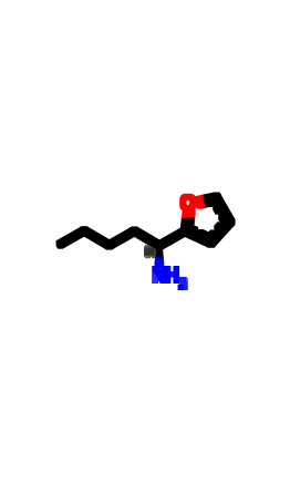 CCCC[C@H](N)c1ccco1